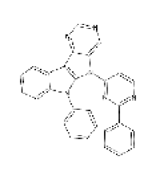 c1ccc(-c2nccc(-n3c4cncnc4c4c5ccccc5n(-c5ccccc5)c43)n2)cc1